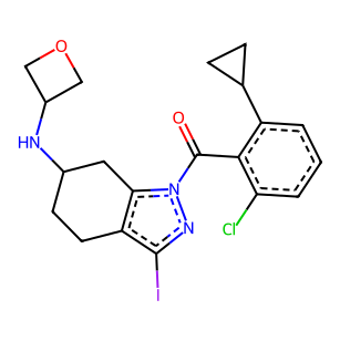 O=C(c1c(Cl)cccc1C1CC1)n1nc(I)c2c1CC(NC1COC1)CC2